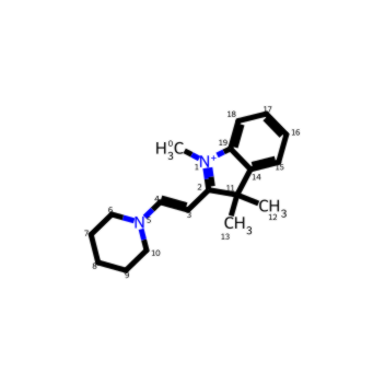 C[N+]1=C(/C=C/N2CCCCC2)C(C)(C)c2ccccc21